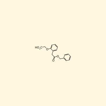 O=C(O)COc1ccccc1CC(=O)OCc1ccccc1